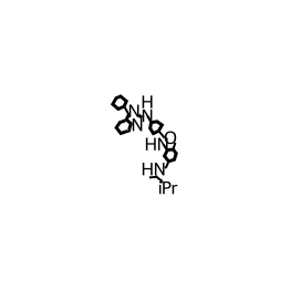 Cc1ccc(CNC(C)CC(C)C)cc1NC(=O)c1ccc(Nc2nc(-c3ccccc3)c3ccccc3n2)cc1